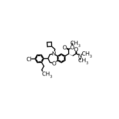 CCCc1cc(Cl)ccc1C1COc2ccc([C@@H](CC(=O)N(C)C)C(=O)OC)cc2N(CC2CCC2)C1